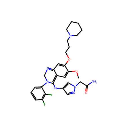 COc1cc2c(cc1OCCCN1CCCCC1)=NCN(c1cccc(F)c1F)C=2Nc1cnn(CC(N)=O)c1